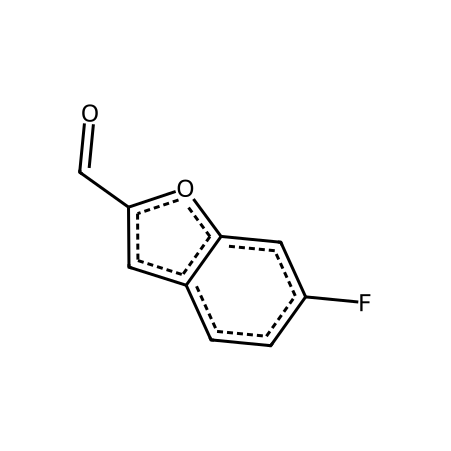 O=Cc1cc2ccc(F)cc2o1